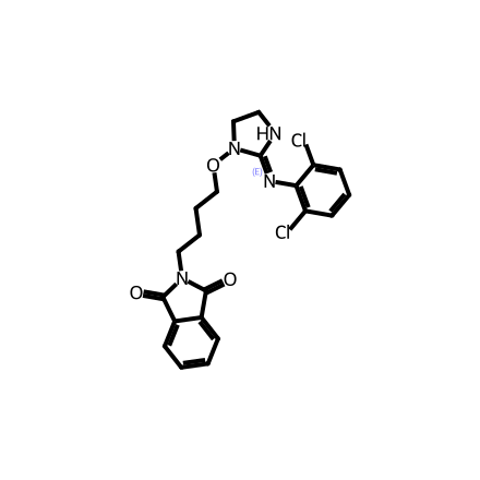 O=C1c2ccccc2C(=O)N1CCCCON1CCN/C1=N\c1c(Cl)cccc1Cl